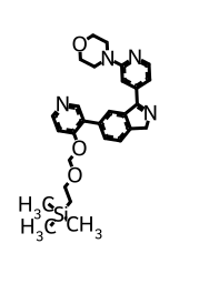 C[Si](C)(C)CCOCOc1ccncc1-c1ccc2c(c1)C(c1ccnc(N3CCOCC3)c1)=NC2